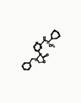 C[C@H](Nc1nccc(N2C(=O)OC[C@H]2Cc2ccccc2)n1)c1ccccc1